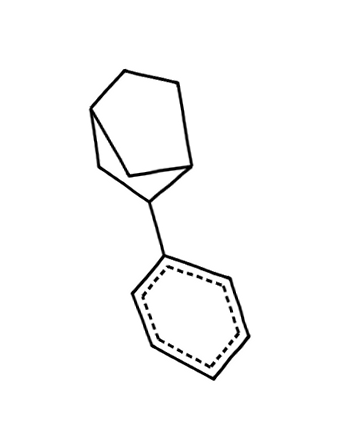 c1ccc(C2CC3CCC2C3)cc1